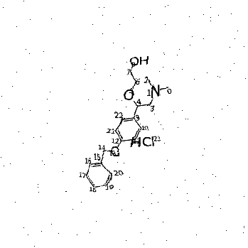 CN(C)CC(OCCO)c1ccc(OCc2ccccc2)cc1.Cl